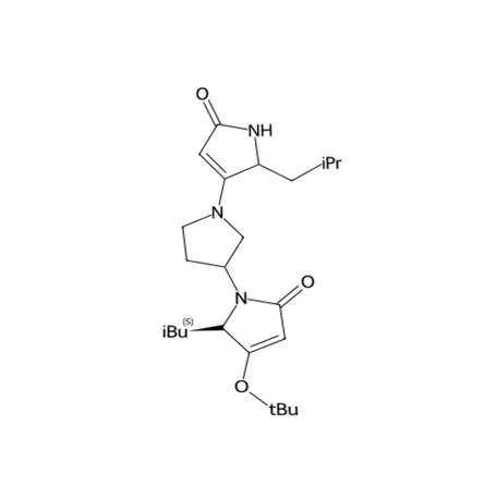 CC[C@H](C)C1C(OC(C)(C)C)=CC(=O)N1C1CCN(C2=CC(=O)NC2CC(C)C)C1